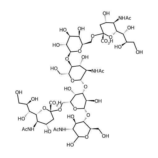 CC(=O)N[C@H]1[C@H](O[C@H]2[C@@H](O)[C@@H](CO[C@]3(C(=O)O)C[C@H](O)[C@@H](NC(C)=O)[C@H]([C@H](O)[C@H](O)CO)O3)O[C@@H](O[C@H]3[C@H](O)[C@@H](NC(C)=O)C(O)O[C@@H]3CO)[C@@H]2O)O[C@H](CO)[C@@H](O[C@@H]2O[C@H](CO[C@]3(C(=O)O)C[C@H](O)[C@@H](NC(C)=O)[C@H]([C@H](O)[C@H](O)CO)O3)[C@H](O)[C@H](O)[C@H]2O)[C@@H]1O